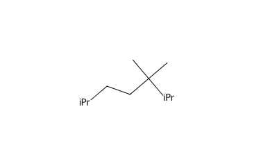 CC(C)CCC(C)(C)C(C)C